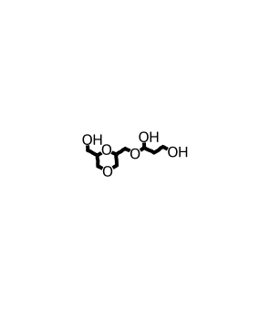 OCCC(O)OCC1COCC(CO)O1